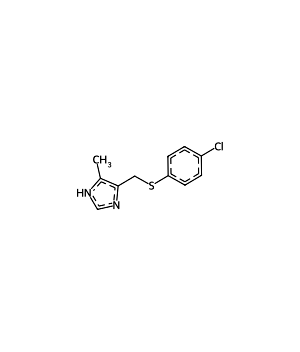 Cc1[nH]cnc1CSc1ccc(Cl)cc1